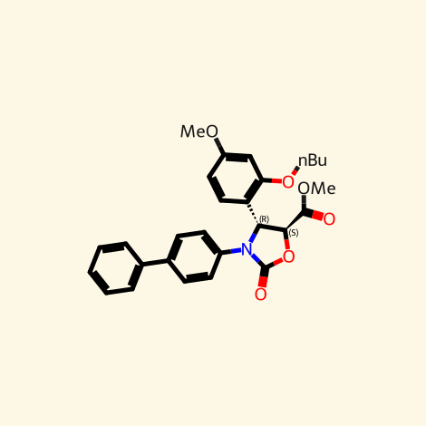 CCCCOc1cc(OC)ccc1[C@@H]1[C@@H](C(=O)OC)OC(=O)N1c1ccc(-c2ccccc2)cc1